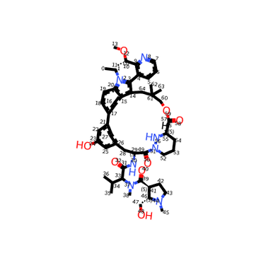 CCn1c(-c2cccnc2[C@H](C)OC)c2c3cc(ccc31)-c1cc(O)cc(c1)C[C@H](NC(=O)C(C(C)C)N(C)C(=O)[C@H]1CCN(C)[C@@H]1CO)C(=O)N1CCC[C@H](N1)C(=O)OCC(C)(C)C2